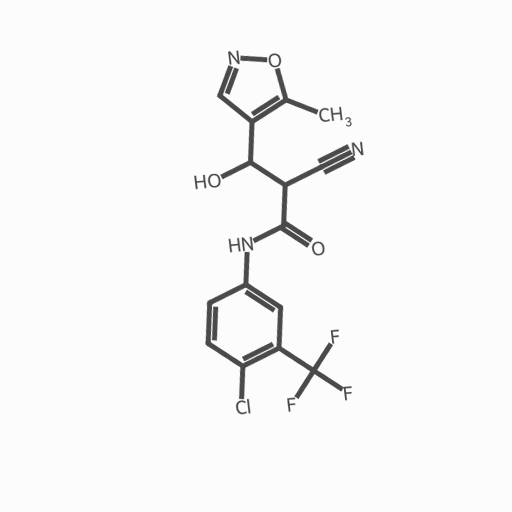 Cc1oncc1C(O)C(C#N)C(=O)Nc1ccc(Cl)c(C(F)(F)F)c1